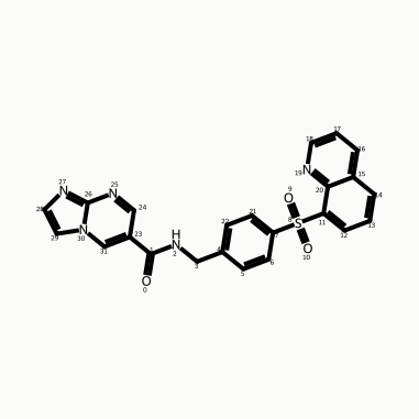 O=C(NCc1ccc(S(=O)(=O)c2cccc3cccnc23)cc1)c1cnc2nccn2c1